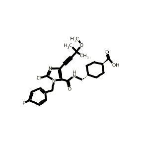 COC(C)(C)C#Cc1nc(Cl)n(Cc2ccc(F)cc2)c1C(=O)NC[C@H]1CC[C@H](C(=O)O)CC1